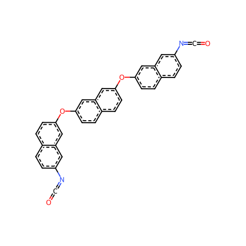 O=C=Nc1ccc2ccc(Oc3ccc4ccc(Oc5ccc6ccc(N=C=O)cc6c5)cc4c3)cc2c1